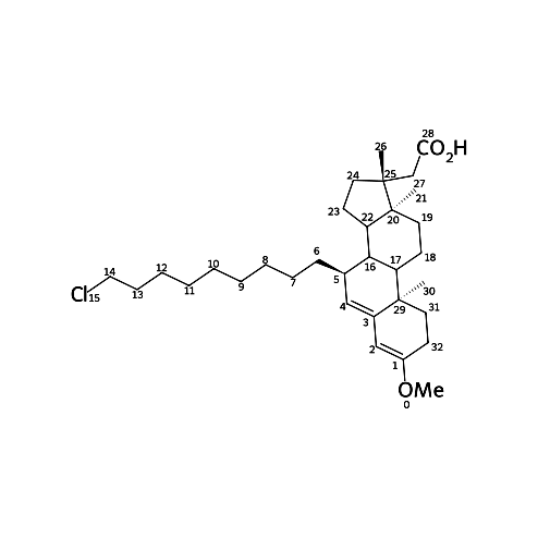 COC1=CC2=C[C@@H](CCCCCCCCCCl)C3C(CC[C@@]4(C)C3CC[C@]4(C)CC(=O)O)[C@@]2(C)CC1